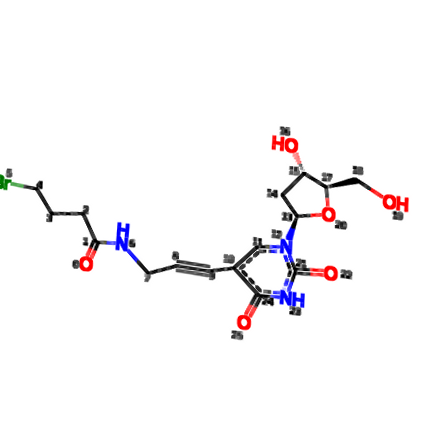 O=C(CCCBr)NCC#Cc1cn([C@H]2C[C@H](O)[C@@H](CO)O2)c(=O)[nH]c1=O